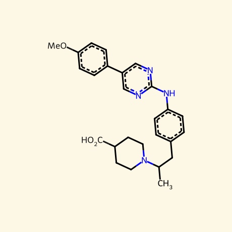 COc1ccc(-c2cnc(Nc3ccc(CC(C)N4CCC(C(=O)O)CC4)cc3)nc2)cc1